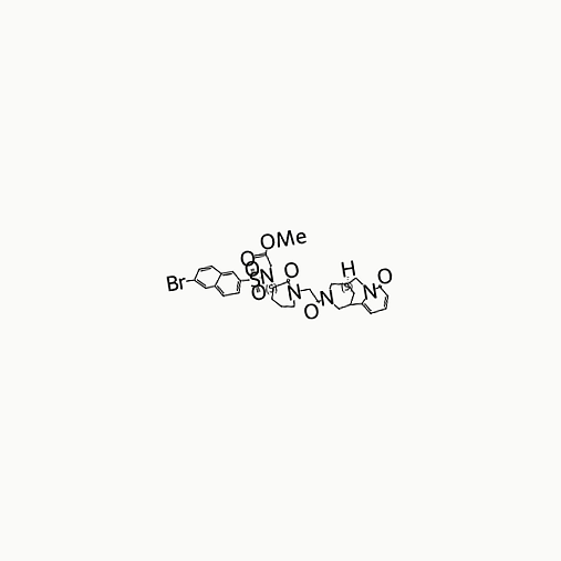 COC(=O)CN([C@H]1CCCN(CC(=O)N2CC3C[C@@H](C2)Cn2c3cccc2=O)C1=O)S(=O)(=O)c1ccc2cc(Br)ccc2c1